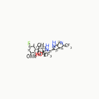 COc1ccc(F)cc1C(C)(C)CC(O)(NCc1cc2cc(C(F)(F)F)ncc2[nH]1)C(F)(F)F